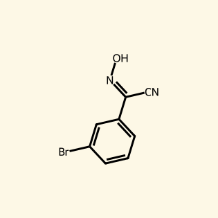 N#CC(=NO)c1cccc(Br)c1